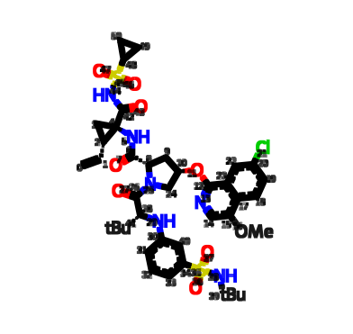 C=C[C@@H]1C[C@]1(NC(=O)[C@@H]1C[C@@H](Oc2ncc(OC)c3ccc(Cl)cc23)CN1C(=O)[C@H](Nc1cccc(S(=O)(=O)NC(C)(C)C)c1)C(C)(C)C)C(=O)NS(=O)(=O)C1CC1